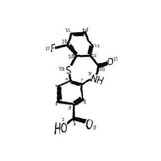 O=C(O)c1ccc2c(c1)NC(=O)c1cccc(F)c1S2